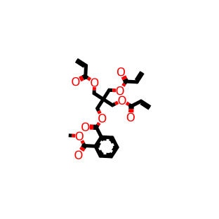 C=CC(=O)OCC(COC(=O)C=C)(COC(=O)C=C)COC(=O)c1ccccc1C(=O)OC